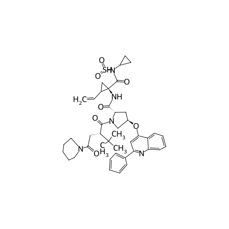 C=CC1C[C@]1(NC(=O)[C@@H]1C[C@@H](Oc2cc(-c3ccccc3)nc3ccccc23)CN1C(=O)[C@@H](CC(=O)N1CCCCC1)C(C)(C)C)C(=O)N(C1CC1)[SH](=O)=O